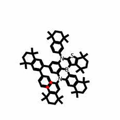 CC1(C)CCC(C)(C)c2cc(N3c4cc5c(cc4B4c6c3cc(-c3cc7c(cc3-c3ccccc3)C(C)(C)CCC7(C)C)cc6N(c3ccc6c(c3)C(C)(C)CCC6(C)C)c3sc6c(c34)C(C)(C)CCC6(C)C)C(C)(C)CCC5(C)C)ccc21